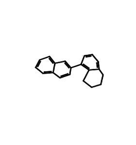 [c]1ccc2c(c1-c1ccc3ccccc3c1)CCCC2